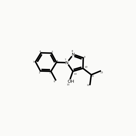 Cc1ccccc1-n1ncc(C(C)C)c1O